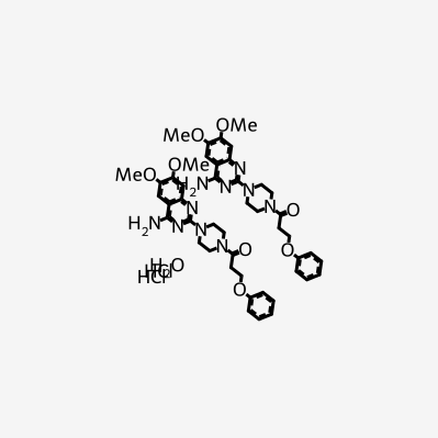 COc1cc2nc(N3CCN(C(=O)CCOc4ccccc4)CC3)nc(N)c2cc1OC.COc1cc2nc(N3CCN(C(=O)CCOc4ccccc4)CC3)nc(N)c2cc1OC.Cl.Cl.O